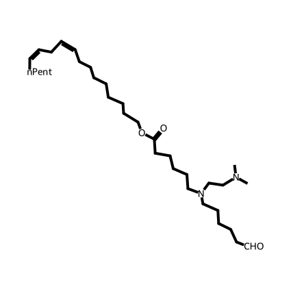 CCCCC/C=C\C/C=C\CCCCCCCCOC(=O)CCCCCN(CCCCCC=O)CCN(C)C